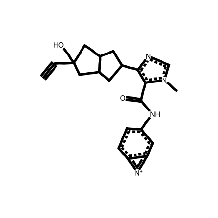 C#CC1(O)CC2CC(c3ncn(C)c3C(=O)Nc3ccc4c(c3)=[N+]=4)CC2C1